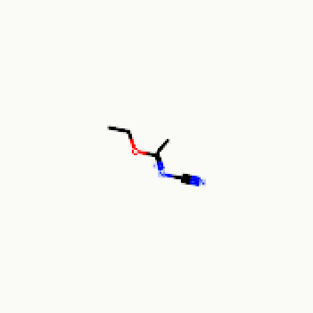 CCO/C(C)=N/C#N